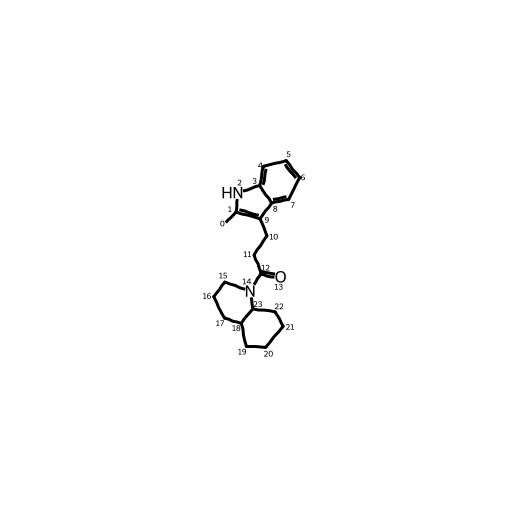 Cc1[nH]c2ccccc2c1CCC(=O)N1CCCC2CCCCC21